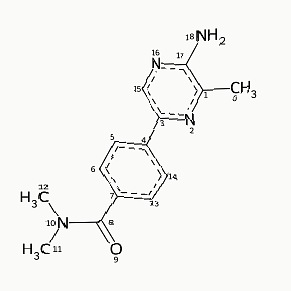 Cc1nc(-c2ccc(C(=O)N(C)C)cc2)cnc1N